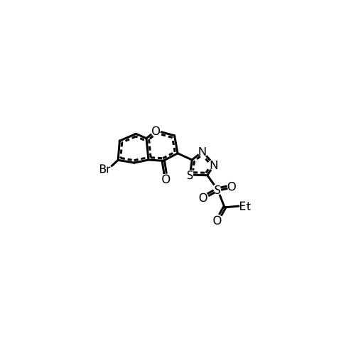 CCC(=O)S(=O)(=O)c1nnc(-c2coc3ccc(Br)cc3c2=O)s1